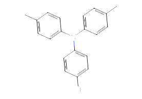 Cc1ccc(N(c2ccc(C)cc2)c2ccc(C(C)C)cc2)cc1